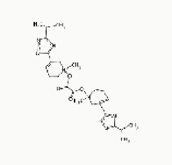 CC(C)c1noc(C2=CCC[N+](C)(OC(=O)C(=O)O[N+]3(C)CCC=C(c4nc(C(C)C)no4)C3)C2)n1